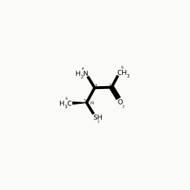 CC(=O)C(N)[C@H](C)S